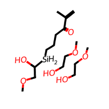 C=C(C)C(=O)CCC[SiH2]C(O)COC.COCCO.COCCO